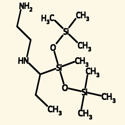 CCC(NCCN)[Si](C)(O[Si](C)(C)C)O[Si](C)(C)C